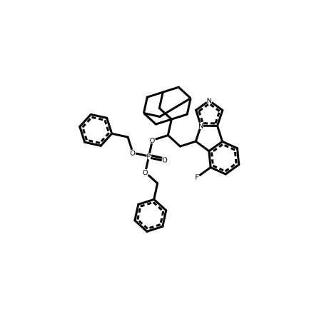 O=P(OCc1ccccc1)(OCc1ccccc1)OC(CC1c2c(F)cccc2-c2cncn21)C12CC3CC(CC(C3)C1)C2